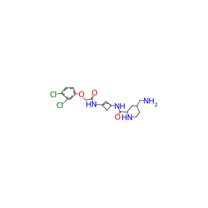 NCC1CCNC(C(=O)NC23CC(NC(=O)COc4ccc(Cl)c(Cl)c4)(C2)C3)C1